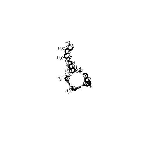 C=C1C2C[C@@H]3O[C@H]4C[C@H]5O[C@]6(C[C@@H]7O[C@]8(C[C@H](C)C9OC(O)OCCC9O8)C[C@H](C)C7O6)C[C@H]5O[C@H]4[C@H](C)C3OC(=O)CC3CCC4OC5C6O[C@@H]7C[C@](CCC8CC(=C)[C@H](CC[C@@H](C[C@H]1C)O2)O8)(OC6C4O3)OC57